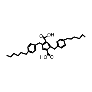 CCCCCCc1ccc(Cc2cc(C(=O)O)c(Cc3ccc(CCCCCC)cc3)cc2C(=O)O)cc1